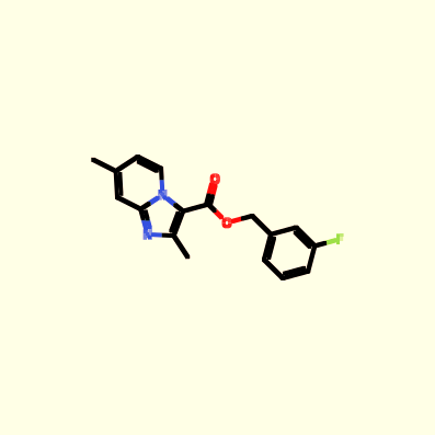 Cc1ccn2c(C(=O)OCc3cccc(F)c3)c(C)nc2c1